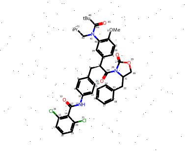 COc1ccc([C@H](Cc2ccc(NC(=O)c3c(Cl)cccc3Cl)cc2)C(=O)N2C(=O)OCC2Cc2ccccc2)cc1N(CC(C)C)C(=O)C(C)(C)C